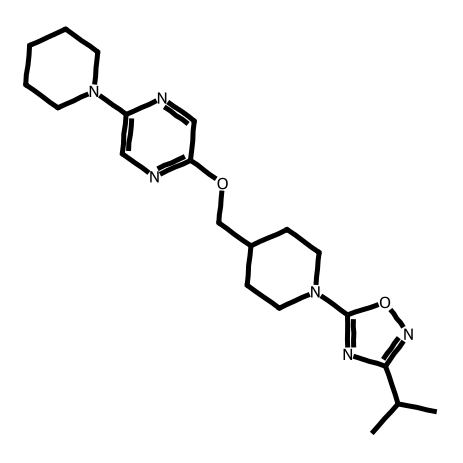 CC(C)c1noc(N2CCC(COc3cnc(N4CCCCC4)cn3)CC2)n1